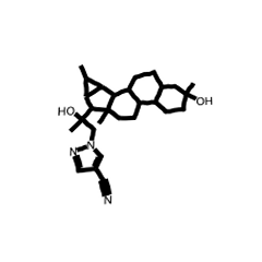 CC1C2C1C(C(C)(O)Cn1cc(C#N)cn1)C1(C)CCC3C4CCC(C)(O)CC4CCC3C21